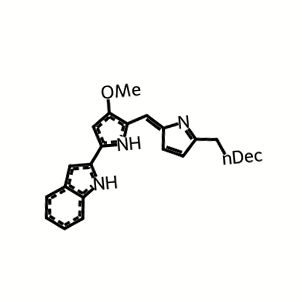 CCCCCCCCCCCC1=NC(=Cc2[nH]c(-c3cc4ccccc4[nH]3)cc2OC)C=C1